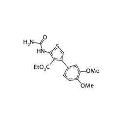 CCOC(=O)c1c(-c2ccc(OC)c(OC)c2)csc1NC(N)=O